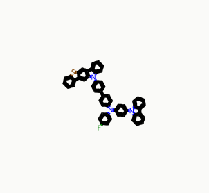 Fc1ccc(N(c2ccc(-c3ccc(-n4c5ccccc5c5cc6sc7ccccc7c6cc54)cc3)cc2)c2ccc(-n3c4ccccc4c4ccccc43)cc2)cc1